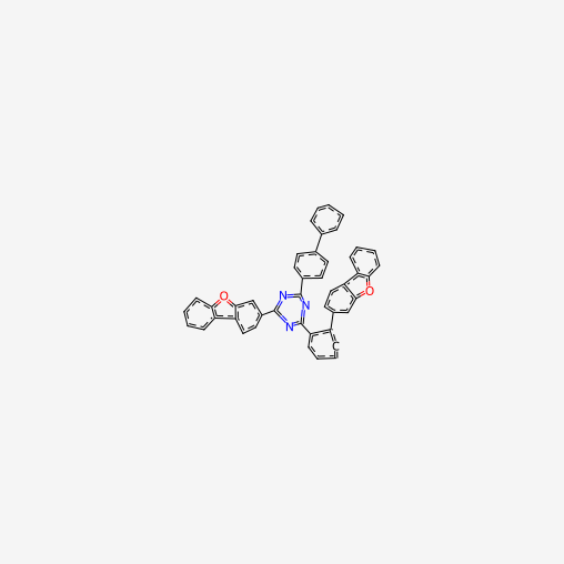 c1ccc(-c2ccc(-c3nc(-c4ccc5c(c4)oc4ccccc45)nc(-c4ccccc4-c4ccc5c(c4)oc4ccccc45)n3)cc2)cc1